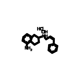 Cl.Cl.Nc1cccc2c1CCC(NC/C=C\c1ccccc1)C2